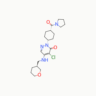 O=c1c(Cl)c(NC[C@@H]2CCCOC2)cnn1[C@H]1CC[C@@H](C(=O)N2CCCC2)CC1